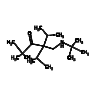 CC(C)C(CNC(C)(C)C)(C(=O)C(C)(C)C)C(C)C